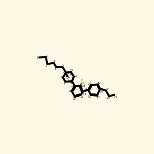 CCCCCCC12CCC(c3cccc(-c4ccc(CCC)cc4)c3F)(CC1)CC2